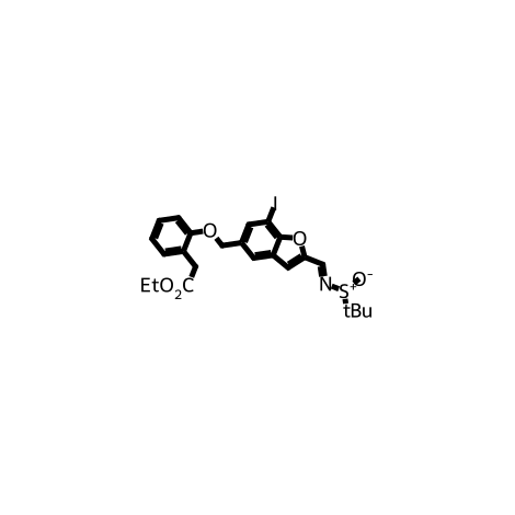 CCOC(=O)Cc1ccccc1OCc1cc(I)c2oc(C=N[S+]([O-])C(C)(C)C)cc2c1